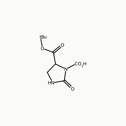 CC(C)(C)OC(=O)C1CNC(=O)N1C(=O)O